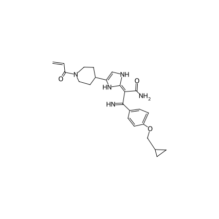 C=CC(=O)N1CCC(C2=CN/C(=C(/C(=N)c3ccc(OCC4CC4)cc3)C(N)=O)N2)CC1